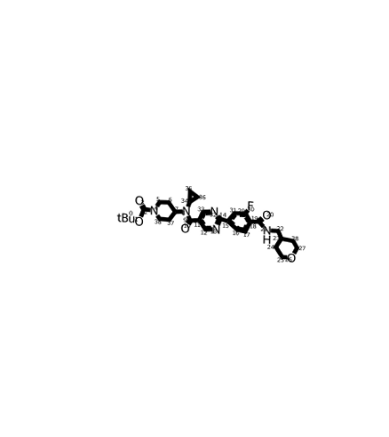 CC(C)(C)OC(=O)N1CCC(N(C(=O)c2cnc(-c3ccc(C(=O)NCC4CCOCC4)c(F)c3)nc2)C2CC2)CC1